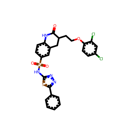 O=C1Nc2ccc(S(=O)(=O)Nc3nnc(-c4ccccc4)s3)cc2CC1CCOc1ccc(Cl)cc1Cl